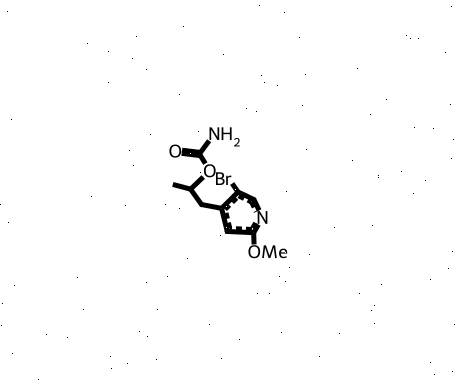 COc1cc(CC(C)OC(N)=O)c(Br)cn1